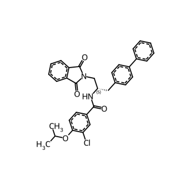 CC(C)Oc1ccc(C(=O)N[C@@H](Cc2ccc(-c3ccccc3)cc2)CN2C(=O)c3ccccc3C2=O)cc1Cl